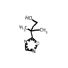 CC(C)(CO)c1ncno1